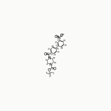 CC(C)(C)OC(=O)N1CCN(C(=O)c2ccc(-c3cccc([N+](=O)[O-])c3)cc2)CC1